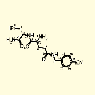 CC(C)C[C@H](NC(=O)[C@@H](N)CCC(=O)NCc1ccc(C#N)cc1)C(N)=O